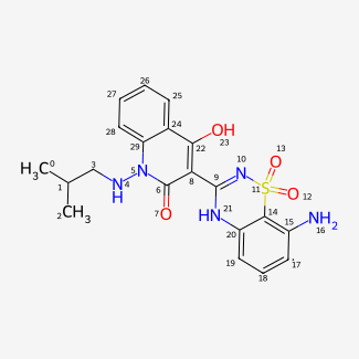 CC(C)CNn1c(=O)c(C2=NS(=O)(=O)c3c(N)[c]ccc3N2)c(O)c2ccccc21